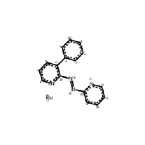 [Ru].c1ccc(-c2cccnc2N=Nc2ccccn2)cc1